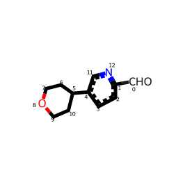 O=Cc1ccc(C2CCOCC2)cn1